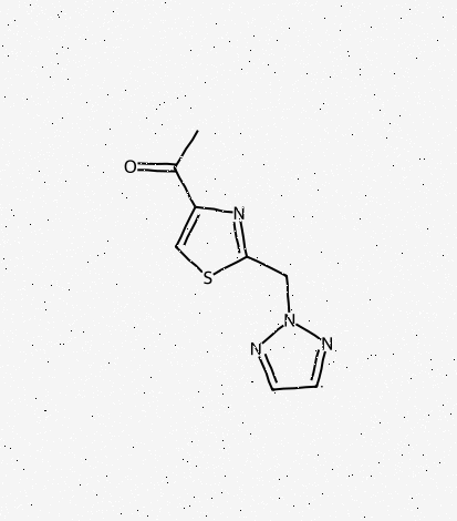 CC(=O)c1csc(Cn2n[c]cn2)n1